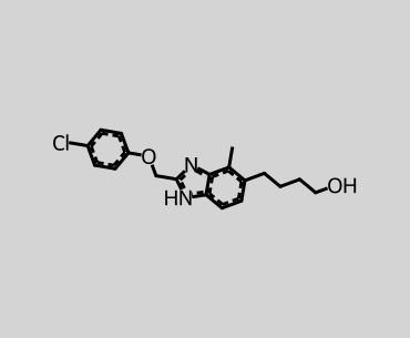 Cc1c(CCCCO)ccc2[nH]c(COc3ccc(Cl)cc3)nc12